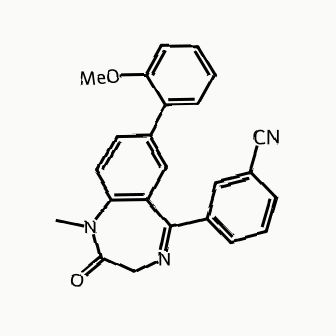 COc1ccccc1-c1ccc2c(c1)C(c1cccc(C#N)c1)=NCC(=O)N2C